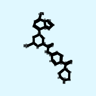 CC1CN(c2ccc(C#N)n3nccc23)CC(C(=O)Nc2ccc(C(=O)N3CCNCC3)cc2)O1